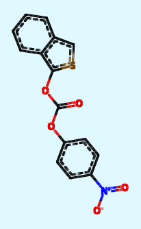 O=C(Oc1ccc([N+](=O)[O-])cc1)Oc1scc2ccccc12